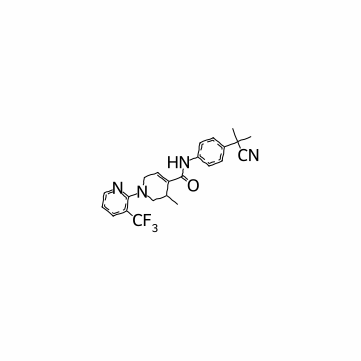 CC1CN(c2ncccc2C(F)(F)F)CC=C1C(=O)Nc1ccc(C(C)(C)C#N)cc1